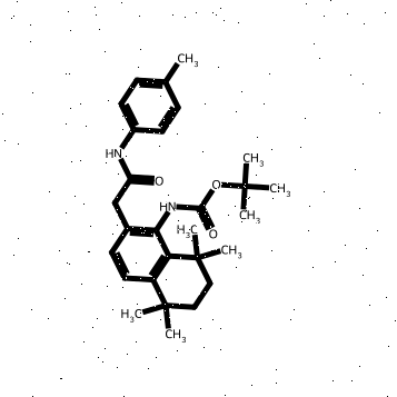 Cc1ccc(NC(=O)Cc2ccc3c(c2NC(=O)OC(C)(C)C)C(C)(C)CCC3(C)C)cc1